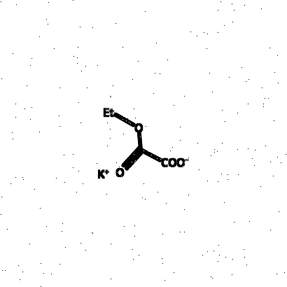 CCOC(=O)C(=O)[O-].[K+]